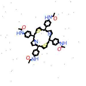 CC(=O)Nc1ccc(-c2c3nc(c(-c4ccc(NC(C)=O)cc4)c4ccc(s4)c(-c4ccc(NC(C)=O)cc4)c4nc(c(-c5ccc(NC(C)=O)cc5)c5ccc2s5)C=C4)C=C3)cc1